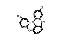 N#Cc1cccc(Oc2ncc(Br)cn2)c1Oc1ncc(Cl)cn1